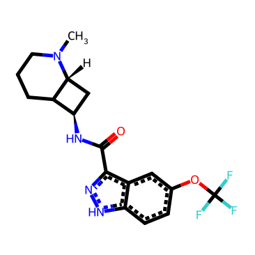 CN1CCCC2[C@H]1C[C@H]2NC(=O)c1n[nH]c2ccc(OC(F)(F)F)cc12